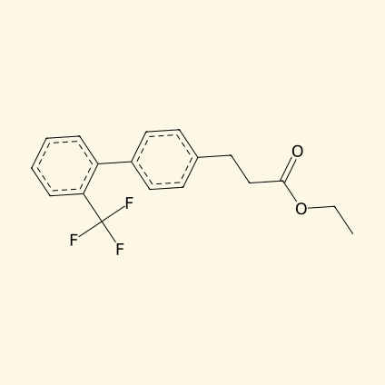 CCOC(=O)CCc1ccc(-c2ccccc2C(F)(F)F)cc1